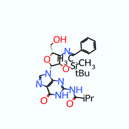 CC(C)C(=O)Nc1nc2c(ncn2[C@@H]2O[C@H](CO)[C@@H](N=Cc3ccccc3)[C@H]2O[Si](C)(C)C(C)(C)C)c(=O)[nH]1